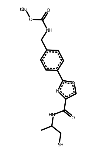 CC(CS)NC(=O)c1csc(-c2ccc(CNC(=O)OC(C)(C)C)cc2)n1